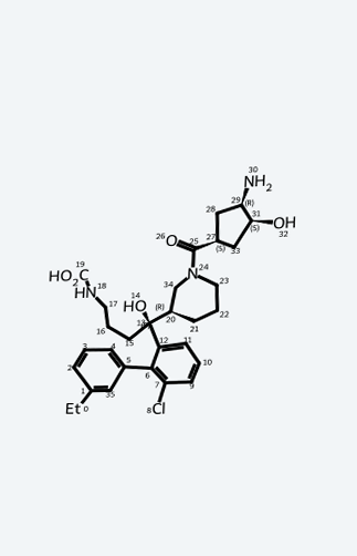 CCc1cccc(-c2c(Cl)cccc2[C@](O)(CCCNC(=O)O)[C@@H]2CCCN(C(=O)[C@H]3C[C@@H](N)[C@@H](O)C3)C2)c1